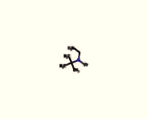 CC(C)N(C[SiH3])C(C)(C)C